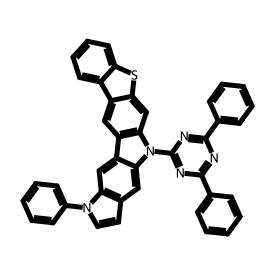 c1ccc(-c2nc(-c3ccccc3)nc(-n3c4cc5ccn(-c6ccccc6)c5cc4c4cc5c(cc43)sc3ccccc35)n2)cc1